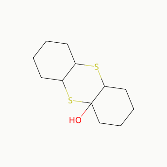 OC12CCCCC1SC1CCCCC1S2